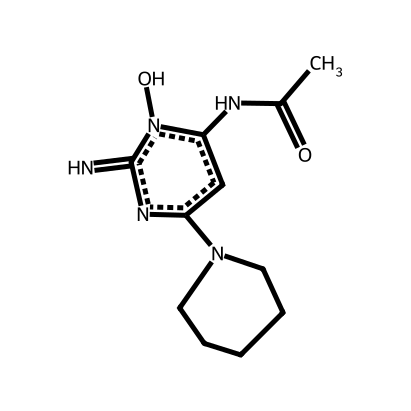 CC(=O)Nc1cc(N2CCCCC2)nc(=N)n1O